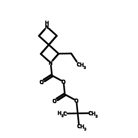 CCC1N(C(=O)OC(=O)OC(C)(C)C)CC12CNC2